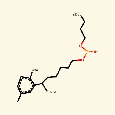 CCCCCCCCCCCCCOP(O)OCCCCCC(CCCCCCC)c1cc(C)ccc1CCCC